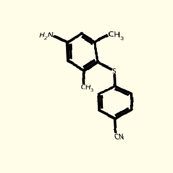 Cc1cc(N)cc(C)c1Sc1ccc(C#N)cc1